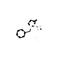 O=c1ccn(Cc2ccccc2)n1P(=O)([O-])[O-].[Na+].[Na+]